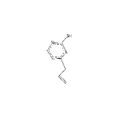 C=CCc1ccnc(S)n1